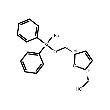 CC(C)(C)[Si](OC[C@@H]1C=C[C@H](CO)O1)(c1ccccc1)c1ccccc1